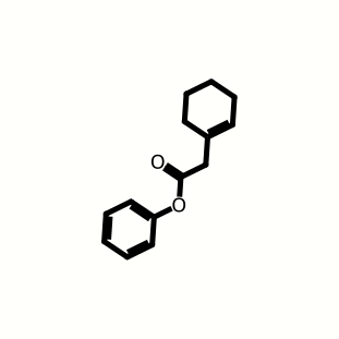 O=C(CC1=CCCCC1)Oc1ccccc1